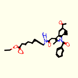 CCOC(=O)CCCCCCNC(=O)Cc1c(C)n(C(=O)c2ccccc2)c2ccc(C(C)=O)cc12